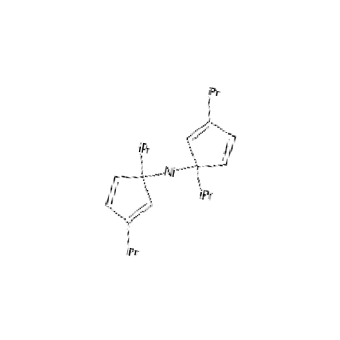 CC(C)C1=C[C]([Ni][C]2(C(C)C)C=CC(C(C)C)=C2)(C(C)C)C=C1